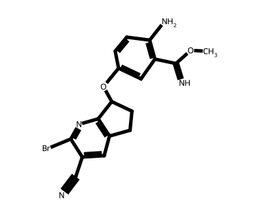 COC(=N)c1cc(OC2CCc3cc(C#N)c(Br)nc32)ccc1N